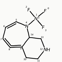 F[N+](F)(F)N1C=CC=C=C2CCNCC21